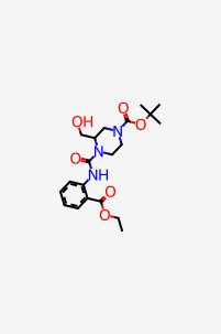 CCOC(=O)c1ccccc1NC(=O)N1CCN(C(=O)OC(C)(C)C)CC1CO